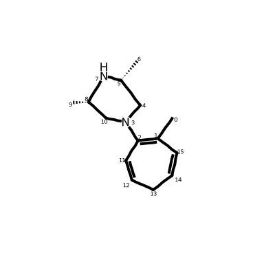 CC1=C(N2C[C@@H](C)N[C@@H](C)C2)C=CCC=C1